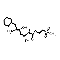 CC(C)[C@H](C[C@H](O)[C@@H](N)CC1CCCCC1)NC(=O)OCCS(C)(=O)=O